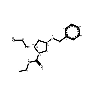 CCOC(=O)N1C[C@H](OCc2ccccc2)C[C@H]1CCCl